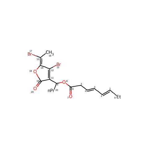 CC/C=C/C=C/CC(=O)OC(CCC)C1=C(Br)/C(=C(\C)Br)OC1=O